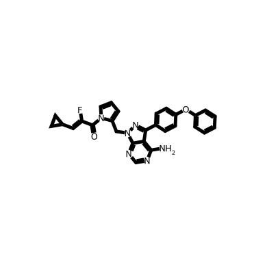 Nc1ncnc2c1c(-c1ccc(Oc3ccccc3)cc1)nn2Cc1cccn1C(=O)C(F)=CC1CC1